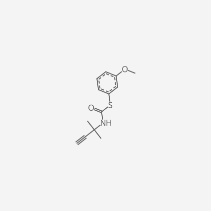 C#CC(C)(C)NC(=O)Sc1cccc(OC)c1